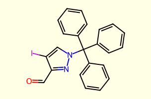 O=Cc1nn(C(c2ccccc2)(c2ccccc2)c2ccccc2)cc1I